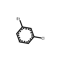 CCc1[c]c(Cl)c[c]c1